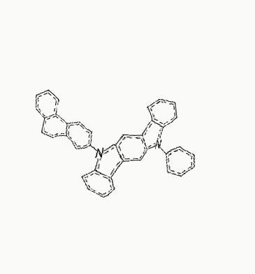 c1ccc(-n2c3ccccc3c3cc4c(cc32)c2ccccc2n4-c2ccc3c(ccc4ccccc43)c2)cc1